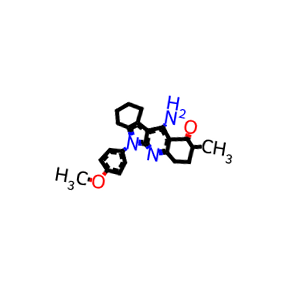 COc1ccc(-n2c3c(c4c(N)c5c(nc42)CCC(C)C5=O)CCCC3)cc1